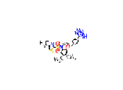 Cc1csc(S(=O)(=O)N(c2cc(C)c(C)cc2OCc2ccc(-c3nnn[nH]3)cc2)C(C)C)n1